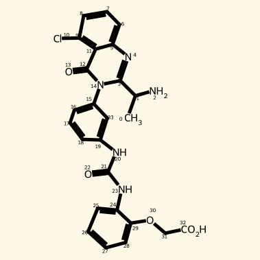 CC(N)c1nc2cccc(Cl)c2c(=O)n1-c1cccc(NC(=O)Nc2ccccc2OCC(=O)O)c1